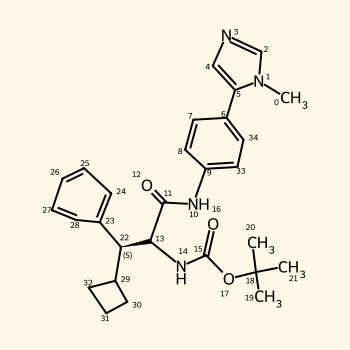 Cn1cncc1-c1ccc(NC(=O)C(NC(=O)OC(C)(C)C)[C@H](c2ccccc2)C2CCC2)cc1